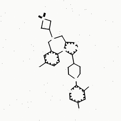 O=S1(=O)CC(N2Cc3cc(Cl)ccc3-n3c(nnc3C3CCN(c4ncc(F)cc4F)CC3)C2)C1